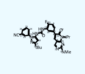 CNc1ncc2cc(-c3ccc(F)c(NC(=O)Nc4cc(C(C)(C)C)nn4-c4cccc(C#N)c4)c3)c(=O)n(C(C)C)c2n1